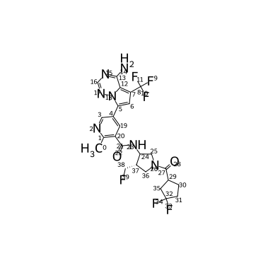 Cc1ncc(-c2cc(C(F)(F)F)c3c(N)ncnn23)cc1C(=O)NC1CN(C(=O)C2CCC(F)(F)C2)C[C@@H]1CF